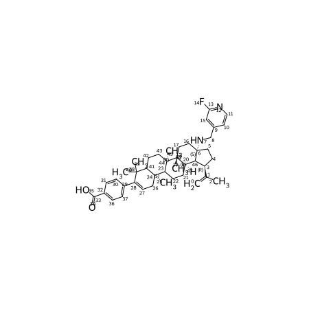 C=C(C)[C@@H]1CC[C@]2(NCc3ccnc(F)c3)CC[C@]3(C)[C@H](CCC4[C@@]5(C)CC=C(c6ccc(C(=O)O)cc6)C(C)(C)C5CC[C@]43C)C12